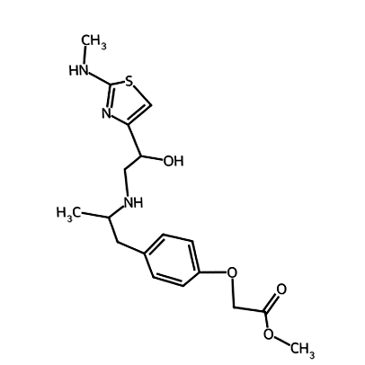 CNc1nc(C(O)CNC(C)Cc2ccc(OCC(=O)OC)cc2)cs1